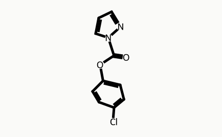 O=C(Oc1ccc(Cl)cc1)n1cccn1